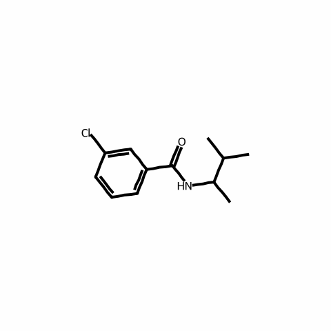 CC(C)C(C)NC(=O)c1cccc(Cl)c1